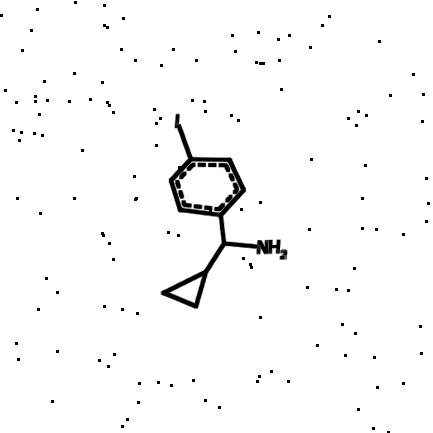 NC(c1ccc(I)cc1)C1CC1